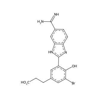 N=C(N)c1ccc2nc(-c3cc(CCC(=O)O)cc(Br)c3O)[nH]c2c1